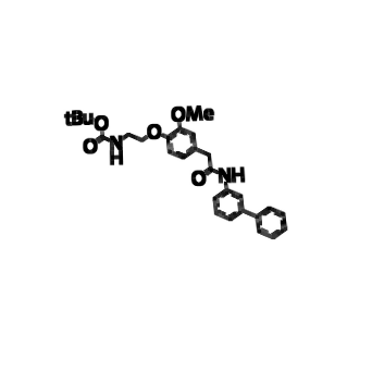 COc1cc(CC(=O)Nc2cccc(-c3ccccc3)c2)ccc1OCCNC(=O)OC(C)(C)C